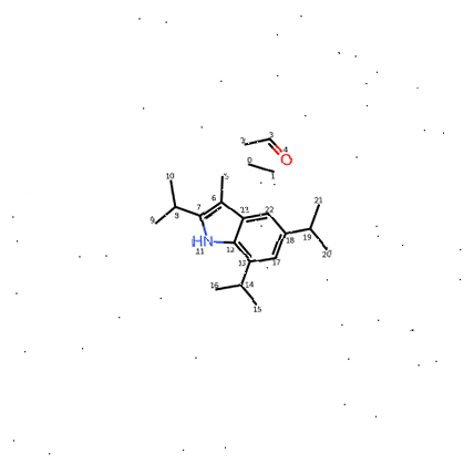 CC.CC=O.Cc1c(C(C)C)[nH]c2c(C(C)C)cc(C(C)C)cc12